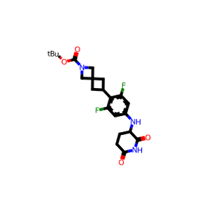 CC(C)(C)OC(=O)N1CC2(CC(c3c(F)cc(NC4CCC(=O)NC4=O)cc3F)C2)C1